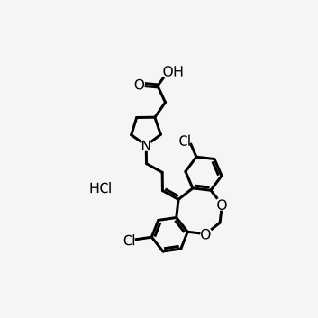 Cl.O=C(O)CC1CCN(CCC=C2C3=C(C=CC(Cl)C3)OCOc3ccc(Cl)cc32)C1